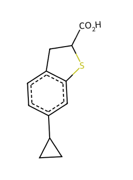 O=C(O)C1Cc2ccc(C3CC3)cc2S1